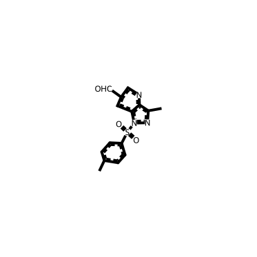 Cc1ccc(S(=O)(=O)n2nc(C)c3ncc(C=O)cc32)cc1